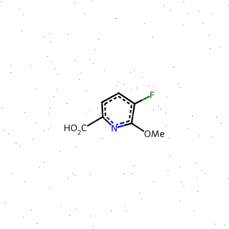 COc1nc(C(=O)O)ccc1F